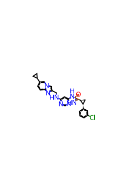 N=[S@](=O)(Nc1cc(NCc2cn3cc(C4CC4)ccc3n2)ncn1)[C@H]1C[C@@H]1c1cccc(Cl)c1